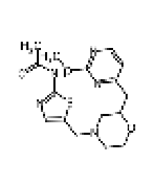 COc1nccc(CC2CN(Cc3cnc(NC(C)=O)s3)CCO2)n1